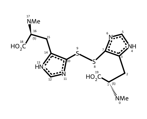 CN[C@@H](Cc1[nH]cnc1SSc1nc[nH]c1C[C@H](NC)C(=O)O)C(=O)O